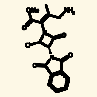 COC(=O)C(=C(C)CN)N1C(=O)[C@H](N2C(=O)c3ccccc3C2=O)[C@H]1Cl